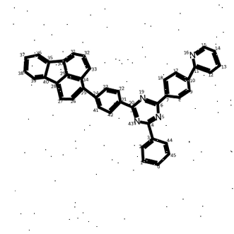 c1ccc(-c2nc(-c3ccc(-c4ccccn4)cc3)nc(-c3ccc(-c4ccc5c6c(cccc46)-c4ccccc4-5)cc3)n2)cc1